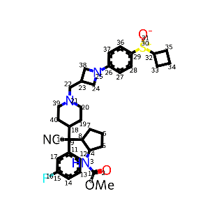 COC(=O)NC1CCCC1C(C#N)(c1cccc(F)c1)C1CCN(CC2CN(c3ccc([S+]([O-])C4CCC4)cc3)C2)CC1